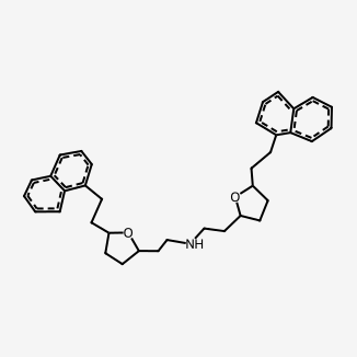 c1ccc2c(CCC3CCC(CCNCCC4CCC(CCc5cccc6ccccc56)O4)O3)cccc2c1